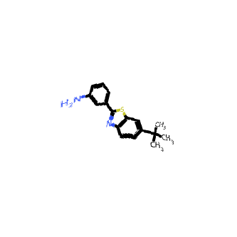 CC(C)(C)c1ccc2nc(-c3cccc(N)c3)sc2c1